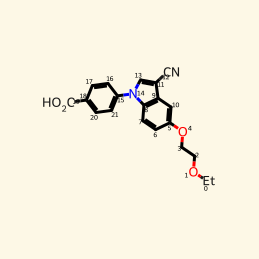 CCOCCOc1ccc2c(c1)c(C#N)cn2-c1ccc(C(=O)O)cc1